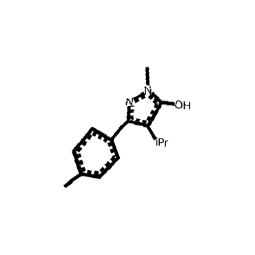 Cc1ccc(-c2nn(C)c(O)c2C(C)C)cc1